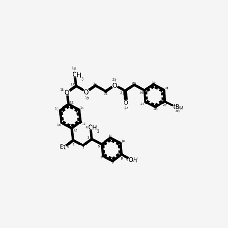 CCC(CC(C)c1ccc(O)cc1)c1ccc(OC(C)OCCOC(=O)Cc2ccc(C(C)(C)C)cc2)cc1